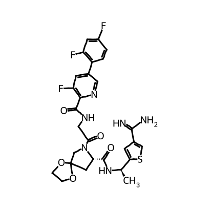 C[C@@H](NC(=O)[C@@H]1CC2(CN1C(=O)CNC(=O)c1ncc(-c3ccc(F)cc3F)cc1F)OCCO2)c1cc(C(=N)N)cs1